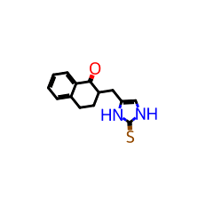 O=C1c2ccccc2CCC1Cc1c[nH]c(=S)[nH]1